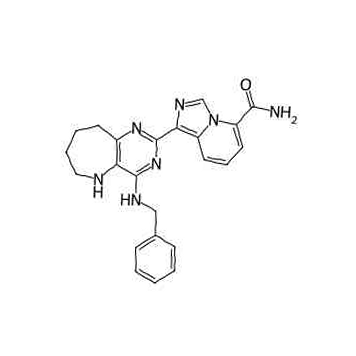 NC(=O)c1cccc2c(-c3nc4c(c(NCc5ccccc5)n3)NCCCC4)ncn12